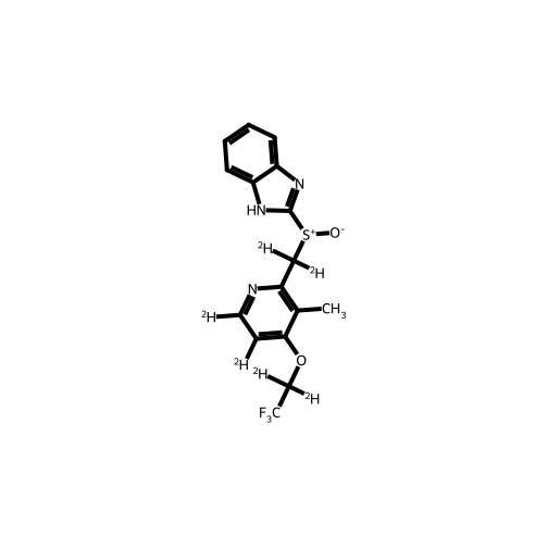 [2H]c1nc(C([2H])([2H])[S+]([O-])c2nc3ccccc3[nH]2)c(C)c(OC([2H])([2H])C(F)(F)F)c1[2H]